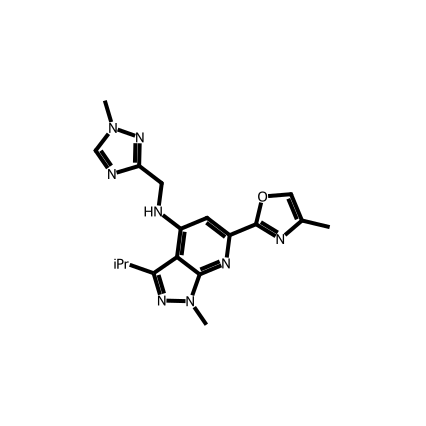 Cc1coc(-c2cc(NCc3ncn(C)n3)c3c(C(C)C)nn(C)c3n2)n1